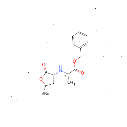 CCCCC1CC(N[C@@H](C)C(=O)OCc2ccccc2)C(=O)O1